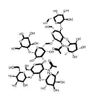 CC(=O)N[C@H]1[C@H](OC[C@H]2O[C@@H](O[C@H]3[C@H](O)[C@@H](O)C(O)O[C@@H]3CO)[C@H](O)[C@@H](O[C@@H]3O[C@H](CO)[C@@H](O[C@@H]4O[C@H](CO)[C@H](O)[C@H](O)[C@H]4O)[C@H](O[C@@H]4O[C@@H](C)[C@@H](O)[C@@H](O)[C@@H]4O)[C@H]3NC(C)=O)[C@H]2O)O[C@H](CO)[C@@H](O[C@@H]2O[C@H](CO)[C@H](O)[C@H](O)[C@H]2O)[C@@H]1O[C@@H]1O[C@@H](C)[C@@H](O)[C@@H](O)[C@@H]1O